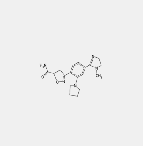 CN1CCN=C1c1ccc(C2=NOC(C(N)=O)C2)c(N2CCCC2)c1